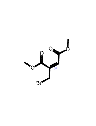 COC(=O)/C=C(/CBr)C(=O)OC